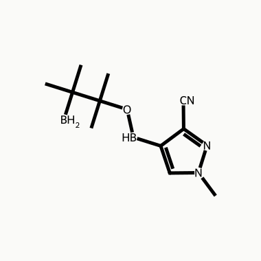 BC(C)(C)C(C)(C)OBc1cn(C)nc1C#N